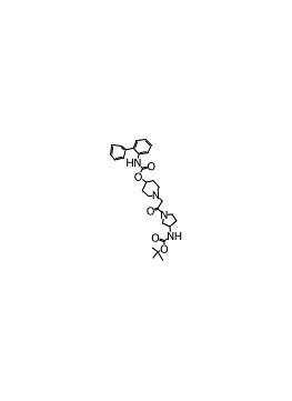 CC(C)(C)OC(=O)NC1CCN(C(=O)CN2CCC(OC(=O)Nc3ccccc3-c3ccccc3)CC2)C1